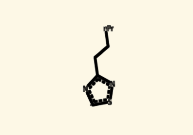 CCCCCc1n[c]sn1